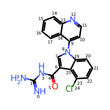 N=C(N)NC(=O)c1cn(-c2ccnc3ccccc23)c2cccc(Cl)c12